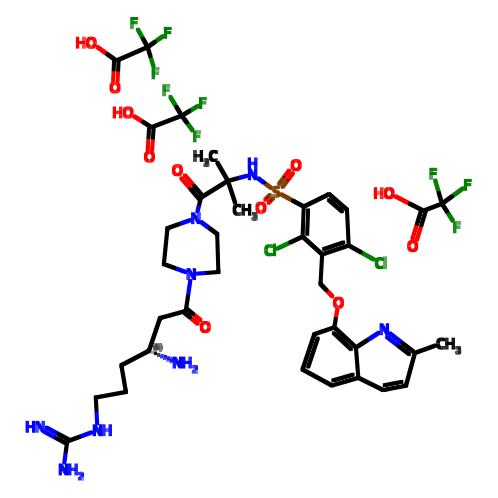 Cc1ccc2cccc(OCc3c(Cl)ccc(S(=O)(=O)NC(C)(C)C(=O)N4CCN(C(=O)C[C@H](N)CCCNC(=N)N)CC4)c3Cl)c2n1.O=C(O)C(F)(F)F.O=C(O)C(F)(F)F.O=C(O)C(F)(F)F